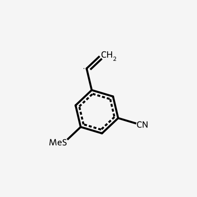 C=[C]c1cc(C#N)cc(SC)c1